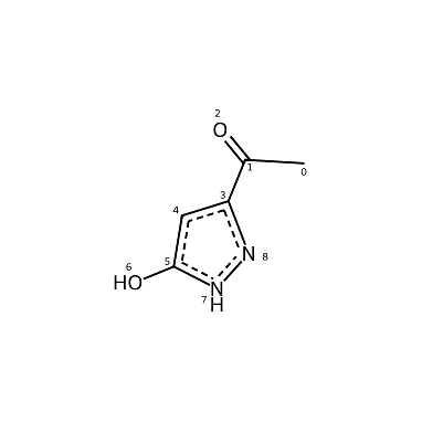 CC(=O)c1cc(O)[nH]n1